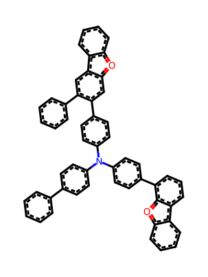 c1ccc(-c2ccc(N(c3ccc(-c4cc5oc6ccccc6c5cc4-c4ccccc4)cc3)c3ccc(-c4cccc5c4oc4ccccc45)cc3)cc2)cc1